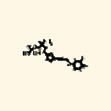 CC(N)(CCc1ccc(C#CCOc2ccc(F)c(F)c2)s1)COP(=O)(O)O